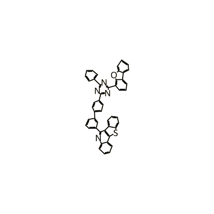 c1ccc(-c2nc(-c3ccc(-c4cccc(-c5nc6ccccc6c6sc7ccccc7c56)c4)cc3)nc(-c3cccc4c3oc3ccccc34)n2)cc1